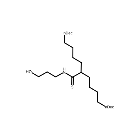 CCCCCCCCCCCCCCC(CCCCCCCCCCCCCC)C(=S)NCCCO